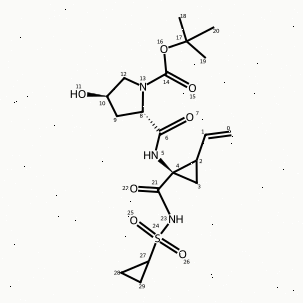 C=CC1C[C@]1(NC(=O)[C@@H]1C[C@@H](O)CN1C(=O)OC(C)(C)C)C(=O)NS(=O)(=O)C1CC1